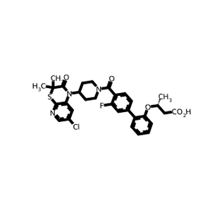 C[C@H](CC(=O)O)Oc1ccccc1-c1ccc(C(=O)N2CCC(N3C(=O)C(C)(C)Sc4ncc(Cl)cc43)CC2)c(F)c1